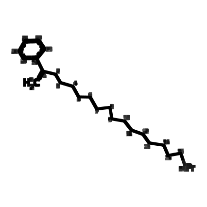 C=C(CCCCCCCCCCCCCCCC(C)C)c1ccccc1